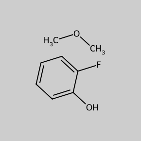 COC.Oc1ccccc1F